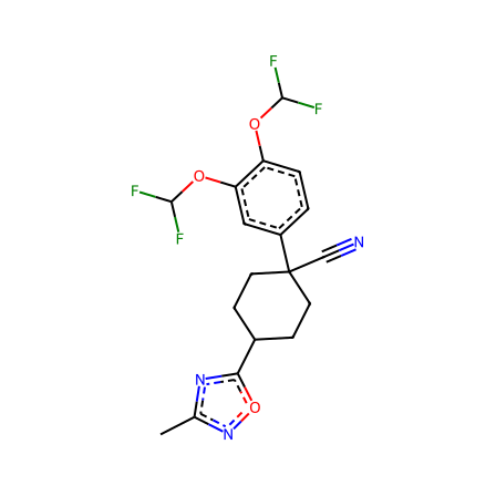 Cc1noc(C2CCC(C#N)(c3ccc(OC(F)F)c(OC(F)F)c3)CC2)n1